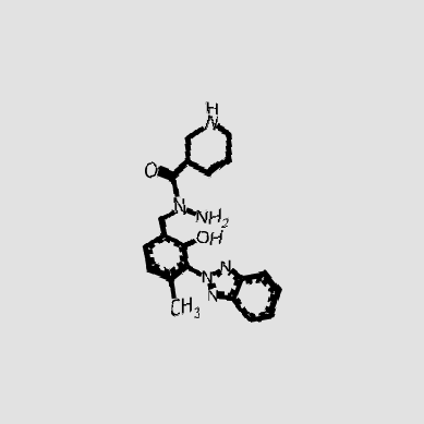 Cc1ccc(CN(N)C(=O)C2CCCNC2)c(O)c1-n1nc2ccccc2n1